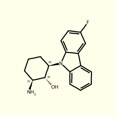 N[C@H]1CCC[C@@H](n2c3ccccc3c3cc(F)ccc32)[C@@H]1O